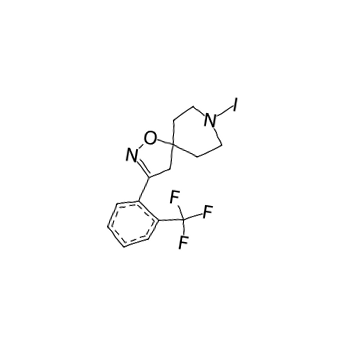 FC(F)(F)c1ccccc1C1=NOC2(CCN(I)CC2)C1